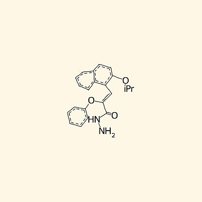 CC(C)Oc1ccc2ccccc2c1C=C(Oc1ccccc1)C(=O)NN